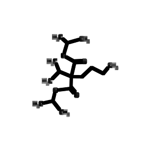 CCCCC(C(=O)OC(C)C)(C(=O)OC(C)C)C(C)C